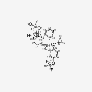 CS(=O)(=O)C[C@@H]1C[C@]2(c3ccccc3)N[C@H]1CC[C@H]2NCc1cc(OC(F)(F)F)ccc1OC1CC1